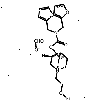 CCOCC[N+]12CCC(CC1)[C@@H](OC(=O)N(Cc1ccco1)Cc1cccs1)C2.O=C[O-]